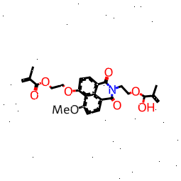 C=C(C)C(=O)OCCOc1ccc2c3c(ccc(OC)c13)C(=O)N(CCOC(O)C(=C)C)C2=O